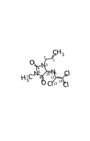 C=CCN1C(=O)N(C)C(=O)C1=NC(Cl)=C(Cl)Cl